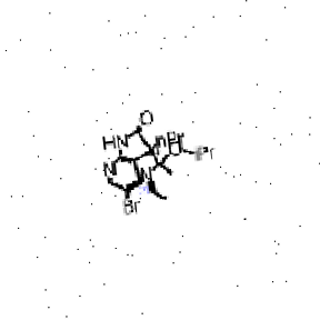 C/C=N\C(C)(OC(C)C)[C@@]1(CCC)C(=O)Nc2ncc(Br)cc21